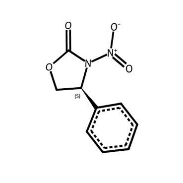 O=C1OC[C@H](c2ccccc2)N1[N+](=O)[O-]